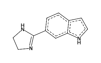 c1cc2ccc(C3=NCCN3)cc2[nH]1